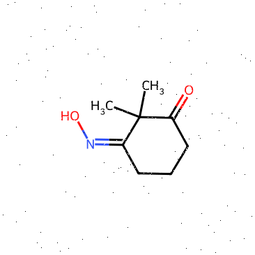 CC1(C)C(=O)CCC/C1=N/O